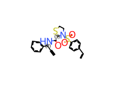 C#C[C@H](NC(=O)[C@@H]1SCCN1S(=O)(=O)c1ccc(C=C)cc1)c1ccccc1